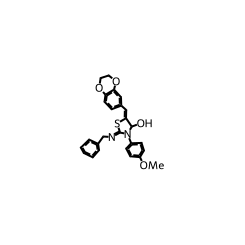 COc1ccc(N2/C(=N/Cc3ccccc3)S/C(=C\c3ccc4c(c3)OCCO4)C2O)cc1